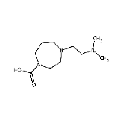 CN(C)CCN1CCCN(C(=O)O)CC1